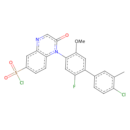 COc1cc(-c2ccc(Cl)c(C)c2)c(F)cc1-n1c(=O)cnc2cc(S(=O)(=O)Cl)ccc21